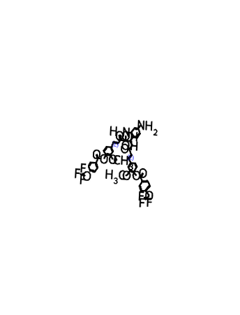 COc1cc(/C=C/C(=O)CC(c2ccc(N)cc2N)C(O)(O)C(=O)/C=C/c2ccc(OC(=O)c3ccc(OC(F)(F)F)cc3)c(OC)c2)ccc1OC(=O)c1ccc(OC(F)(F)F)cc1